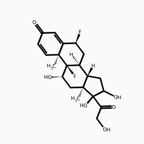 C[C@]12C[C@H](O)[C@@]3(F)[C@@H](C[C@H](F)C4=CC(=O)C=C[C@@]43C)[C@@H]1CC(O)C2(O)C(=O)CO